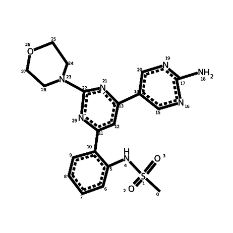 CS(=O)(=O)Nc1ccccc1-c1cc(-c2cnc(N)nc2)nc(N2CCOCC2)n1